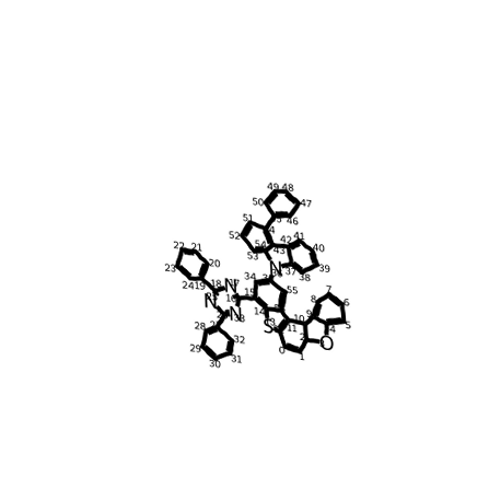 C1=CC2Oc3ccccc3C2c2c1sc1c(-c3nc(-c4ccccc4)nc(-c4ccccc4)n3)cc(-n3c4ccccc4c4c(-c5ccccc5)cccc43)cc21